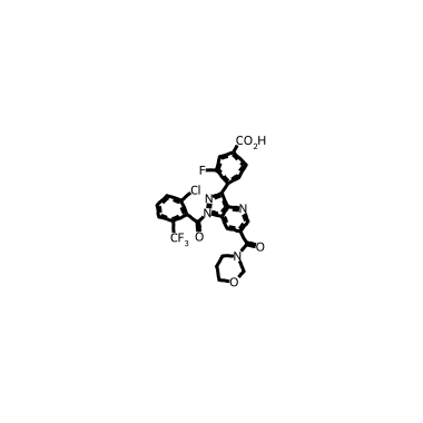 O=C(O)c1ccc(-c2nn(C(=O)c3c(Cl)cccc3C(F)(F)F)c3cc(C(=O)N4CCCOC4)cnc23)c(F)c1